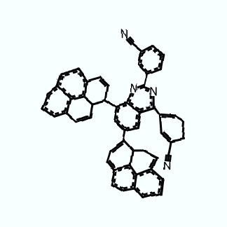 N#CC1=CC(c2nc(-c3cccc(C#N)c3)nc3c(C4C=Cc5ccc6cccc7c6c5C4C=C7)cc(C4=CC=c5ccc6cccc7c6c5C4CC=7)cc23)=CCC1